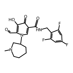 CN1CCCCC(n2cc(C(=O)NCc3c(F)cc(F)cc3F)c(=O)c(O)c2C=O)C1